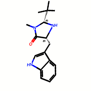 CN1C(=O)[C@@H](Cc2c[nH]c3ccccc23)N[C@H]1C(C)(C)C